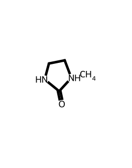 C.O=C1NCCN1